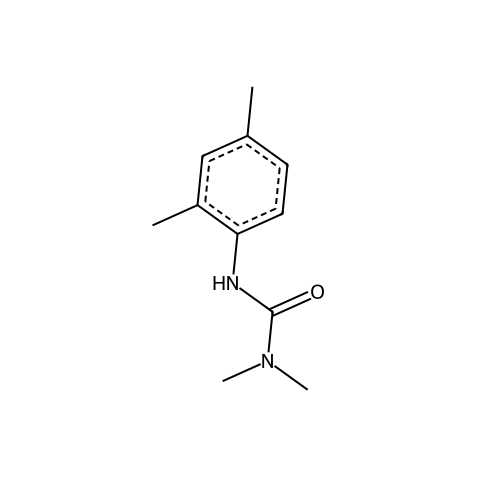 Cc1ccc(NC(=O)N(C)C)c(C)c1